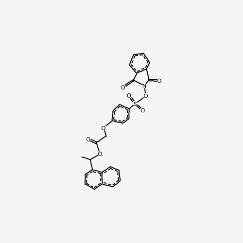 CC(OC(=O)COc1ccc(S(=O)(=O)ON2C(=O)c3ccccc3C2=O)cc1)c1cccc2ccccc12